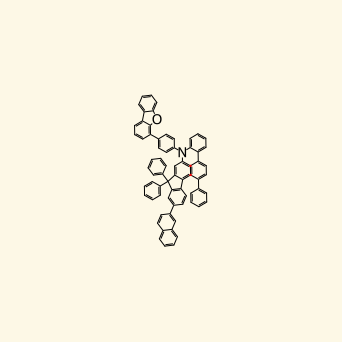 c1ccc(-c2ccc(-c3ccccc3N(c3ccc(-c4cccc5c4oc4ccccc45)cc3)c3ccc4c(c3)C(c3ccccc3)(c3ccccc3)c3cc(-c5ccc6ccccc6c5)ccc3-4)cc2)cc1